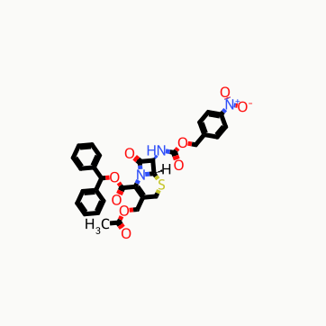 CC(=O)OCC1=C(C(=O)OC(c2ccccc2)c2ccccc2)N2C(=O)[C@@H](NC(=O)OCc3ccc([N+](=O)[O-])cc3)[C@H]2SC1